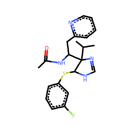 CC(=O)NC(Cc1ccccn1)C1(C(C)C)N=CNC1Sc1cccc(F)c1